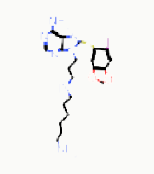 NCCCCCCNCCCn1c(Sc2cc3c(cc2I)OCO3)nc2c(N)ncnc21